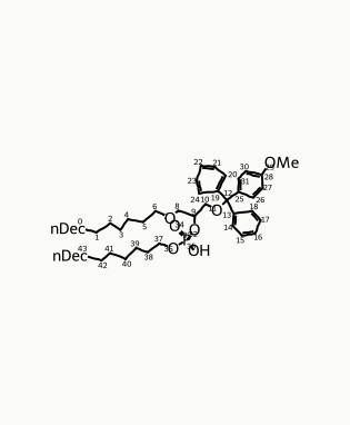 CCCCCCCCCCCCCCCCOCC(COC(c1ccccc1)(c1ccccc1)c1ccc(OC)cc1)OP(=O)(O)OCCCCCCCCCCCCCCCC